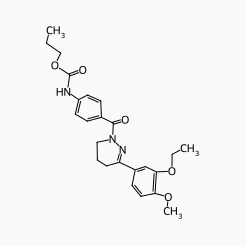 CCCOC(=O)Nc1ccc(C(=O)N2CCCC(c3ccc(OC)c(OCC)c3)=N2)cc1